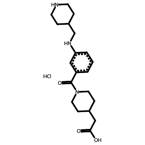 Cl.O=C(O)CC1CCN(C(=O)c2cccc(NCC3CCNCC3)c2)CC1